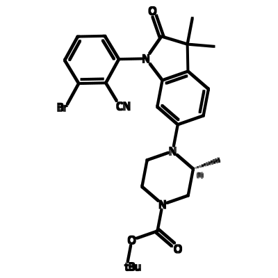 C[C@@H]1CN(C(=O)OC(C)(C)C)CCN1c1ccc2c(c1)N(c1cccc(Br)c1C#N)C(=O)C2(C)C